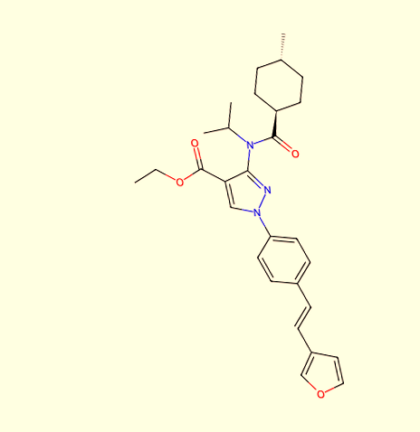 CCOC(=O)c1cn(-c2ccc(C=Cc3ccoc3)cc2)nc1N(C(=O)[C@H]1CC[C@H](C)CC1)C(C)C